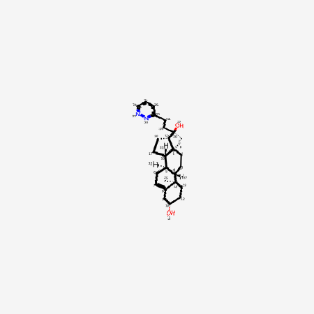 C[C@]12CC[C@H]3[C@@H](CC=C4C[C@@H](O)CC[C@@]43C)[C@@H]1CC[C@@H]2[C@](C)(O)CCc1cccnn1